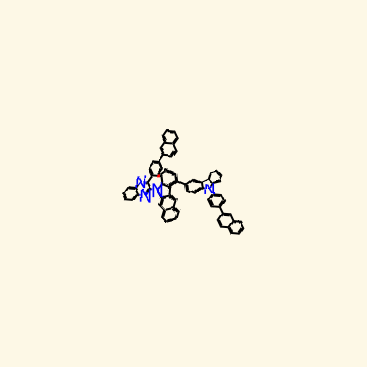 c1ccc2cc(-c3ccc(-c4nc5ccccc5nc4-n4c5cc6ccccc6cc5c5c(-c6ccc7c(c6)c6ccccc6n7-c6ccc(-c7ccc8ccccc8c7)cc6)cccc54)cc3)ccc2c1